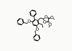 CCc1c(OCc2ccccc2)cc(OCc2ccccc2)c(-c2ccccc2)c1CC1O[C@@H](OC)[C@H](OC)O1